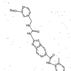 COc1cccc(CNC(=O)Nc2nc3ccc(C(=O)Nc4c(C)cccc4C)cc3s2)c1